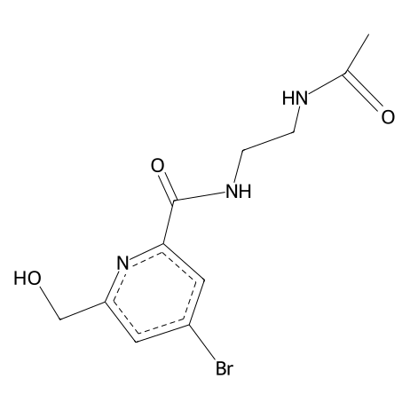 CC(=O)NCCNC(=O)c1cc(Br)cc(CO)n1